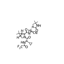 CC1(C)C[C@@H](C[C@@H](C#N)NC(=O)[C@@H]2[C@@H]3[C@H](CN2C(=O)[C@@H](NC(=O)C(F)(F)F)C2CC2)C3(C)C)C(=O)N1